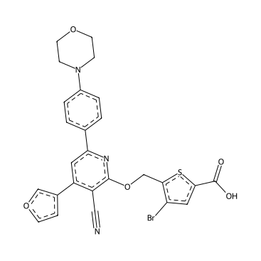 N#Cc1c(-c2ccoc2)cc(-c2ccc(N3CCOCC3)cc2)nc1OCc1sc(C(=O)O)cc1Br